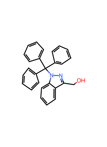 OCc1nn(C(c2ccccc2)(c2ccccc2)c2ccccc2)c2ccccc12